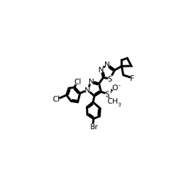 C[S+]([O-])c1c(-c2nnc(C3(CF)CCC3)s2)nn(-c2ccc(Cl)cc2Cl)c1-c1ccc(Br)cc1